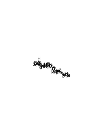 O=C(Cc1cc(-c2ccc(-c3cc(C(=O)NCCNC(=O)c4ccncc4)n[nH]3)cc2)ccc1O)NCCNC(=O)c1cc(-c2ccccc2)[nH]n1